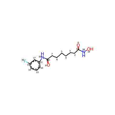 O=C(CCCCCCC(=O)Nc1cccc(F)c1)NO